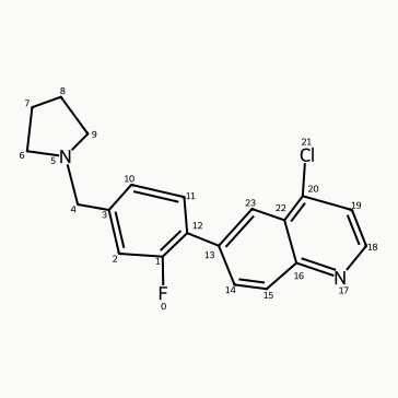 Fc1cc(CN2CCCC2)ccc1-c1ccc2nccc(Cl)c2c1